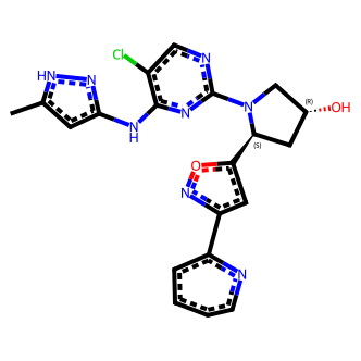 Cc1cc(Nc2nc(N3C[C@H](O)C[C@H]3c3cc(-c4ccccn4)no3)ncc2Cl)n[nH]1